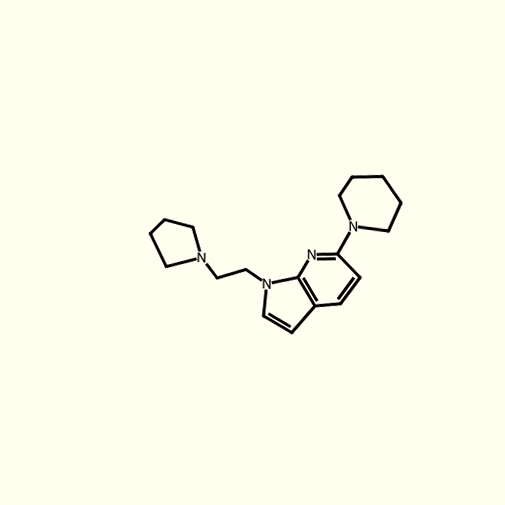 c1cc2ccn(CCN3CCCC3)c2nc1N1CCCCC1